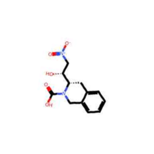 O=C(O)N1Cc2ccccc2C[C@H]1[C@H](O)C[N+](=O)[O-]